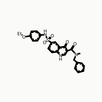 CCOc1ccc(NS(=O)(=O)c2ccc3[nH]cc(C(=O)N(C)Cc4ccccc4)c(=O)c3c2)cc1